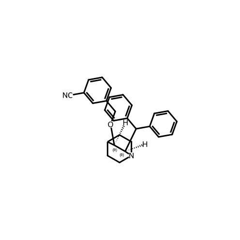 N#Cc1cccc(CO[C@@H]2C3CCN(CC3)[C@@H]2C(c2ccccc2)c2ccccc2)c1